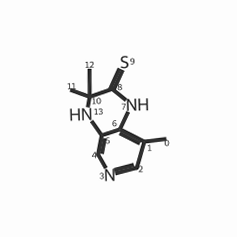 Cc1cncc2c1NC(=S)C(C)(C)N2